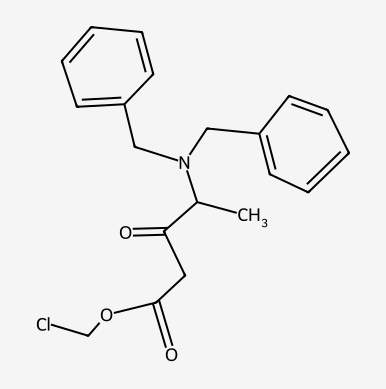 CC(C(=O)CC(=O)OCCl)N(Cc1ccccc1)Cc1ccccc1